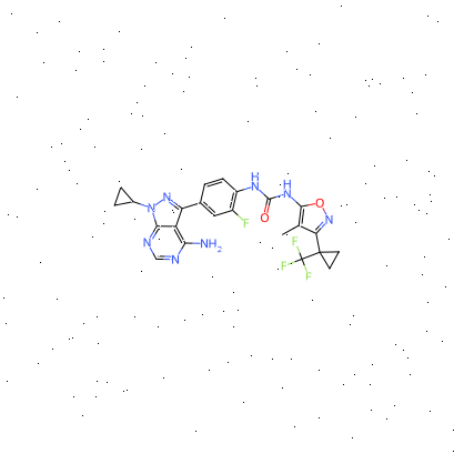 Cc1c(C2(C(F)(F)F)CC2)noc1NC(=O)Nc1ccc(-c2nn(C3CC3)c3ncnc(N)c23)cc1F